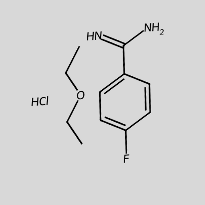 CCOCC.Cl.N=C(N)c1ccc(F)cc1